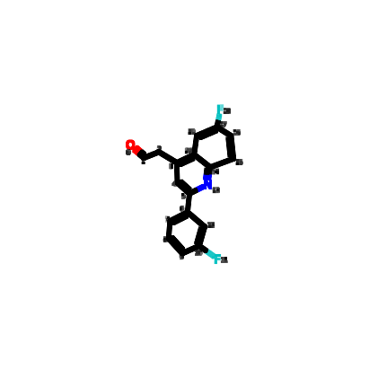 O=CCc1cc(-c2cccc(F)c2)nc2ccc(F)cc12